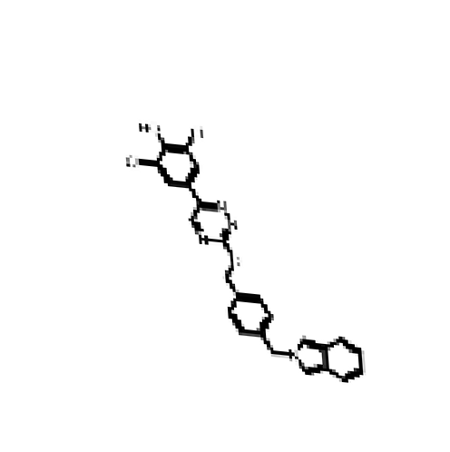 Oc1c(Cl)cc(-c2cnc(OCc3ccc(Cn4cc5ccccc5c4)cc3)nn2)cc1Cl